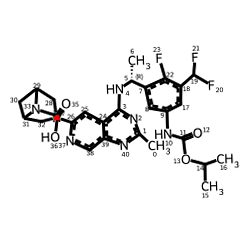 Cc1nc(N[C@H](C)c2cc(NC(=O)OC(C)C)cc(C(F)F)c2F)c2cc(N3CC4CC(C3)N4C(=O)O)ncc2n1